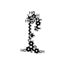 Cc1ncsc1-c1ccc([C@H](C)NC(=O)[C@@H]2C[C@@H](O)CN2C(=O)[C@@H](NC(=O)CCCCCCCN(CCOc2ccc(C(=O)c3c(-c4ccc(O)cc4)sc4cc(O)ccc34)cc2)C(C)(C)C)C(C)(C)C)cc1